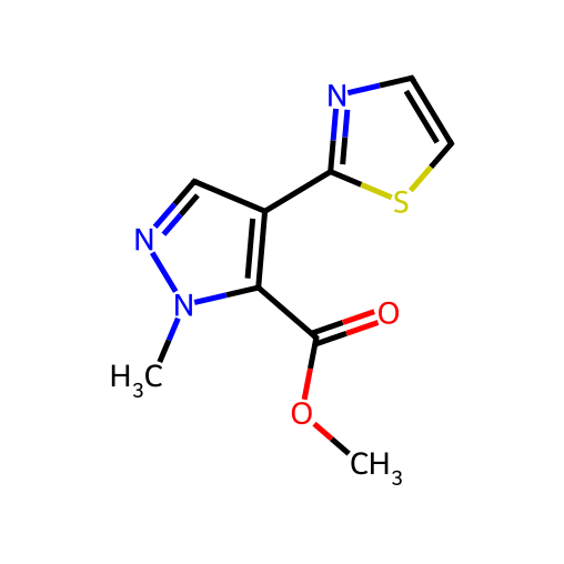 COC(=O)c1c(-c2nccs2)cnn1C